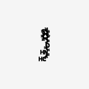 C#CCNCCOCCc1ccc2sccc2c1